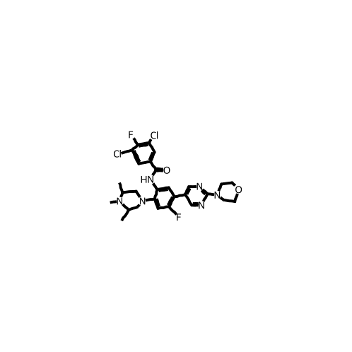 CC1CN(c2cc(F)c(-c3cnc(N4CCOCC4)nc3)cc2NC(=O)c2cc(Cl)c(F)c(Cl)c2)CC(C)N1C